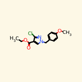 CCOC(=O)c1cn(Cc2ccc(OC)cc2)nc1Cl